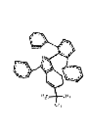 CC(C)(C)C1=Cc2c(-c3ccccc3)oc(-c3c(-c4c#cccc4)cccc3-c3ccccc3)c2CC1